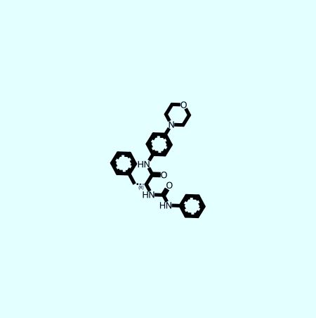 O=C(Nc1ccccc1)N[C@H](Cc1ccccc1)C(=O)Nc1ccc(N2CCOCC2)cc1